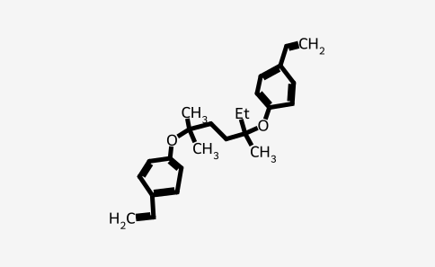 C=Cc1ccc(OC(C)(C)CCC(C)(CC)Oc2ccc(C=C)cc2)cc1